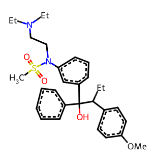 CCC(c1ccc(OC)cc1)C(O)(c1ccccc1)c1cccc(N(CCN(CC)CC)S(C)(=O)=O)c1